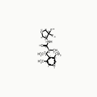 Cc1cncc(C)c1[C@H](C)N(C)C(=O)N[C@@H]1COCC1(F)F